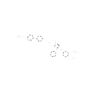 COc1ccc(-c2ccc(OCCSc3ncc(C(C)(C)c4ccc(OC)c(OC)c4)n3-c3ccc(F)cc3)cc2)cn1